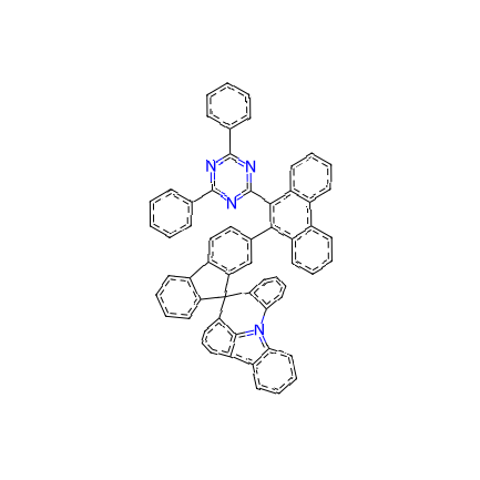 c1ccc(-c2nc(-c3ccccc3)nc(-c3c(-c4ccc5c(c4)C4(c6ccccc6-5)c5ccccc5-n5c6ccccc6c6cccc4c65)c4ccccc4c4ccccc34)n2)cc1